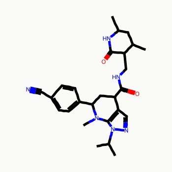 CC1CC(C)C(CNC(=O)C2CC(c3ccc(C#N)cc3)N(C)c3c2cnn3C(C)C)C(=O)N1